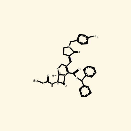 CC(C)(C)OC(=O)N[C@@H]1C(=O)N2C(C(=O)OC(c3ccccc3)c3ccccc3)=C(/C=C3\CCN(Cc4ccc(C(F)(F)F)cc4)C3=O)CS[C@H]12